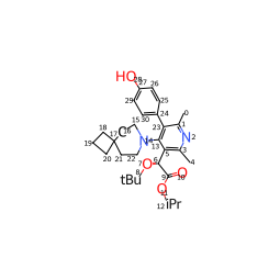 Cc1nc(C)c([C@H](OC(C)(C)C)C(=O)OC(C)C)c(N2CCC3(CCC3)CC2)c1-c1ccc(O)cc1